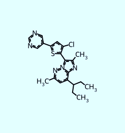 CCC(CC)c1cc(C)nn2c(-c3sc(-c4cncnc4)cc3Cl)c(C)nc12